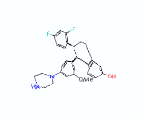 COc1cc(N2CCNCC2)ccc1[C@@H]1c2ccc(O)cc2CC[C@@H]1c1ccc(F)cc1F